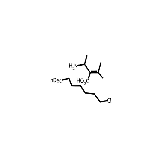 CC(C)=C(C(=O)O)C(C)N.CCCCCCCCCCCCCCCCCl